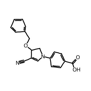 N#CC1=CN(c2ccc(C(=O)O)cc2)CC1OCc1ccccc1